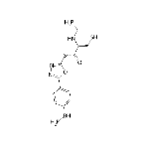 O=C(Sc1nnc(-c2ccc(BP)cc2)o1)[C@H](CS)NCP